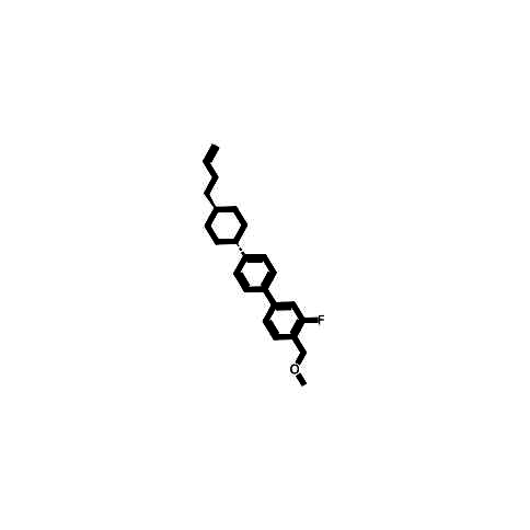 C=CCC[C@H]1CC[C@H](c2ccc(-c3ccc(COC)c(F)c3)cc2)CC1